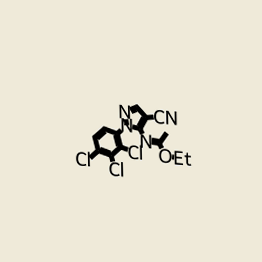 CCO/C(C)=N/c1c(C#N)cnn1-c1ccc(Cl)c(Cl)c1Cl